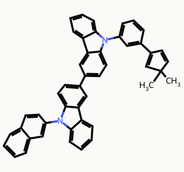 CC1(C)C=CC(c2cccc(-n3c4ccccc4c4cc(-c5ccc6c(c5)c5ccccc5n6-c5ccc6ccccc6c5)ccc43)c2)=C1